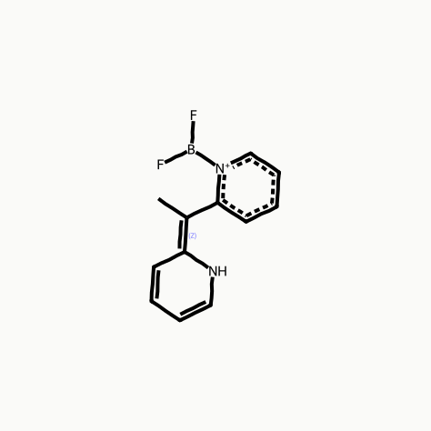 C/C(=C1\C=CC=CN1)c1cccc[n+]1B(F)F